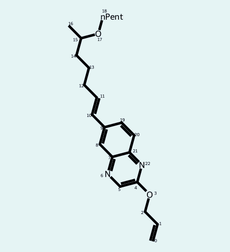 C=CCOc1cnc2cc(C=CCCCC(C)OCCCCC)ccc2n1